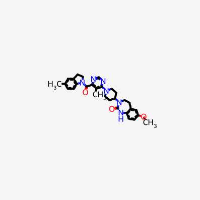 COc1ccc2c(c1)CCN(C1CCN(c3ncnc(C(=O)N4CCc5cc(C)ccc54)c3C)CC1)C(=O)N2